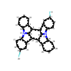 Fc1ccc2c(c1)c1c3c4ccccc4n4c5ccc(F)cc5c(c5c6ccccc6n2c51)c34